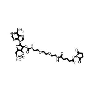 NC1=c2ncn(C3OC4COP(=O)(O)OC4C3OC(=O)NCCOCCOCCNC(=O)CCCC(=O)ON3C(=O)CCC3=O)c2=NCN1